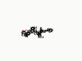 C[C@@H]1CCC[C@H](C)N1c1nnc2ccc(O[C@@H]3CC[C@H](NC(=O)Nc4cc(C(C)(C)C)nn4-c4cc(F)cc(OCCOC5CCCCO5)c4)c4ccccc43)cn12